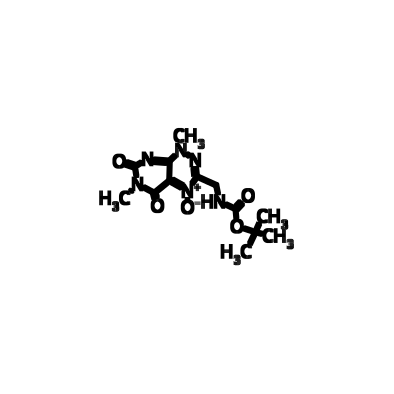 Cn1nc(CNC(=O)OC(C)(C)C)[n+]([O-])c2c(=O)n(C)c(=O)nc1-2